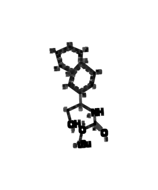 CC(C)(C)OC(=O)NC(CO)c1ccc2ccccc2c1